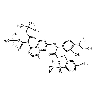 Cc1cc([C@@H](Nc2ccc3c(N(C(=O)OC(C)(C)C)C(=O)OC(C)(C)C)ncc(F)c3c2)C(=O)N(C)Cc2cc(N)ccc2S(=O)(=O)C2CC2)ccc1[C@@H](C)CO